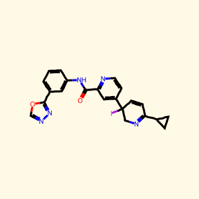 O=C(Nc1cccc(-c2nnco2)c1)c1cc(C2(I)C=CC(C3CC3)=NC2)ccn1